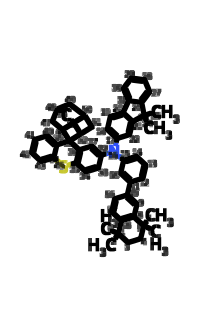 CC1(C)CCC(C)(C)c2cc(-c3cccc(N(c4ccc5c(c4)C(C)(C)c4ccccc4-5)c4ccc5c(c4)C4(c6ccccc6S5)C5CC6CC7CC4C75C6)c3)ccc21